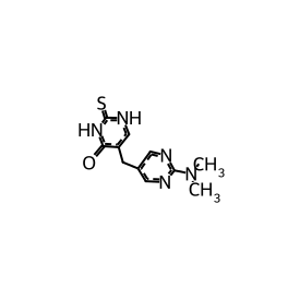 CN(C)c1ncc(Cc2c[nH]c(=S)[nH]c2=O)cn1